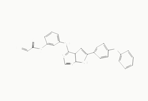 C=CC(=O)Nc1cccc(NC2=NC=NC3NC(c4ccc(Oc5ccccc5)cc4)=CC23)c1